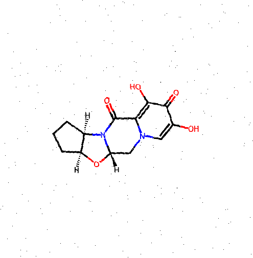 O=C1c2c(O)c(=O)c(O)cn2C[C@@H]2O[C@H]3CCC[C@H]3N12